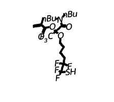 C=C(C)C(=O)OC(OCCCCC(F)(F)C(F)(F)S)(C(=O)N(CCCC)CCCC)C(F)(F)F